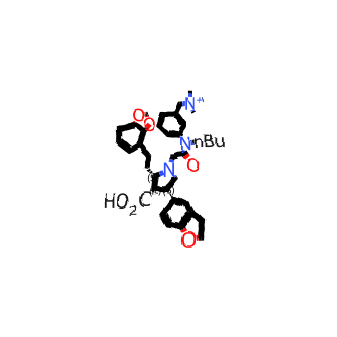 CCCCN(C(=O)CN1C[C@H](c2ccc3c(c2)CCO3)[C@@H](C(=O)O)[C@@H]1CCc1cccc2c1OCO2)c1cccc(C[N+](C)(C)C)c1